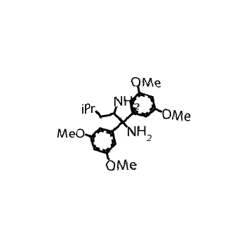 COc1cc(OC)cc(C(N)(c2cc(OC)cc(OC)c2)C(N)CC(C)C)c1